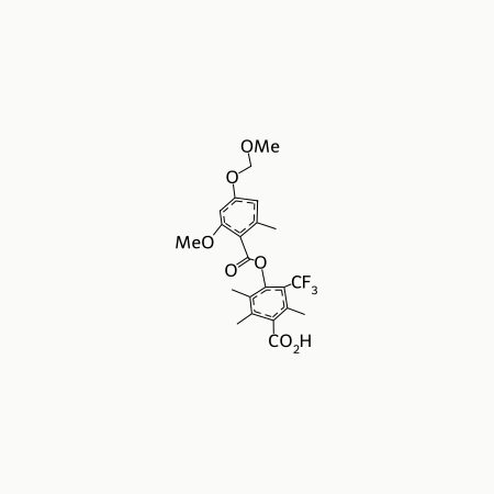 COCOc1cc(C)c(C(=O)Oc2c(C)c(C)c(C(=O)O)c(C)c2C(F)(F)F)c(OC)c1